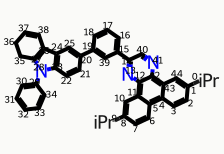 CC(C)c1ccc2c3ccc(C(C)C)cc3c3nc(-c4cccc(-c5ccc6c(c5)c5c(n6-c6ccccc6)CCC=C5)c4)cnc3c2c1